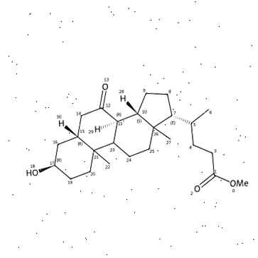 COC(=O)CCC(C)[C@H]1CC[C@H]2[C@@H]3C(=O)C[C@H]4C[C@H](O)CCC4(C)C3CCC12C